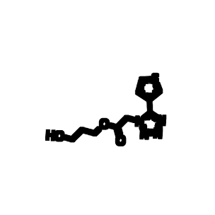 O=C(Cn1nnnc1-c1ccsc1)OCCCO